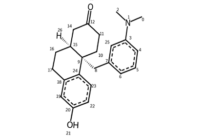 CN(C)c1cccc(C[C@@]23CCC(=O)C[C@@H]2CCc2cc(O)ccc23)c1